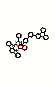 c1ccc(-c2nc(-c3ccccc3)nc(-n3c4ccccc4c4ccc5c6ccccc6n(-c6ccc(-c7ccc(-c8cccc(-c9ccc%10c%11ccccc%11c%11ccccc%11c%10c9)c8)cc7)cc6)c5c43)n2)cc1